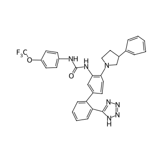 O=C(Nc1ccc(OC(F)(F)F)cc1)Nc1cc(-c2ccccc2-c2nnn[nH]2)ccc1N1CCC(c2ccccc2)C1